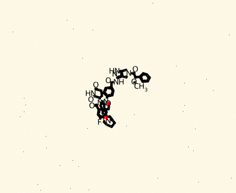 COC(C(=O)N1Cc2[nH]nc(NC(=O)c3ccc(N4CCC(CN5CC6CCC(C5)N6c5cc6c(cc5F)C(=O)N(C5CCC(=O)NC5=O)C6=O)CC4)cc3)c2C1)c1ccccc1